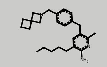 CCCCCc1cc(Cc2ccc(CN3CC4(CCC4)C3)cc2)c(C)nc1N